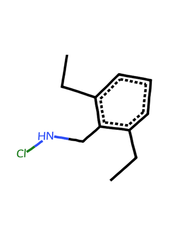 CCc1cccc(CC)c1CNCl